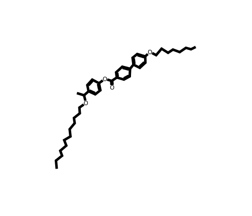 CCCCCCCCCCCCOC(C)c1ccc(OC(=O)c2ccc(-c3ccc(OCCCCCCCC)cc3)cc2)cc1